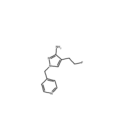 Nc1nn(Cc2ccncc2)cc1CCF